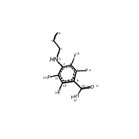 CCCNc1c(F)c(F)c(C(=O)O)c(F)c1F